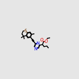 CCCC(C(=O)OCC)c1cncc(C#Cc2cc3c(cc2C)SCCC3(C)C)n1